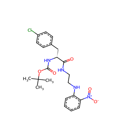 CC(C)(C)OC(=O)N[C@H](Cc1ccc(Cl)cc1)C(=O)NCCNc1ccccc1[N+](=O)[O-]